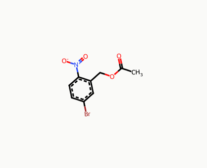 CC(=O)OCc1cc(Br)ccc1[N+](=O)[O-]